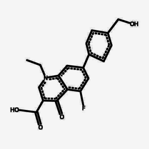 CCn1cc(C(=O)O)c(=O)c2c(F)cc(-c3ccc(CO)cc3)cc21